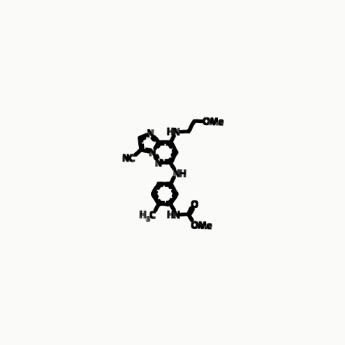 COCCNc1cc(Nc2ccc(C)c(NC(=O)OC)c2)nn2c(C#N)cnc12